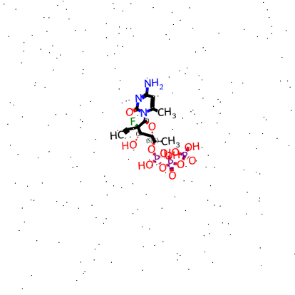 C#CC1(F)[C@@H](O)[C@@H]([C@H](C)OP(=O)(O)OP(=O)(O)OP(=O)(O)O)O[C@H]1n1c(C)cc(N)nc1=O